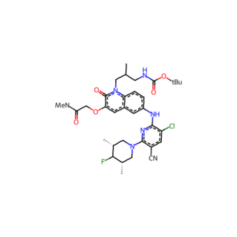 CNC(=O)COc1cc2cc(Nc3nc(N4C[C@@H](C)C(F)[C@@H](C)C4)c(C#N)cc3Cl)ccc2n(CC(C)CNC(=O)OC(C)(C)C)c1=O